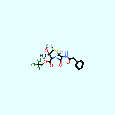 COC1(C)CS[C@@H]2C(NC(=O)Cc3ccccc3)C(=O)N2C1C(=O)OCC(Cl)(Cl)Cl